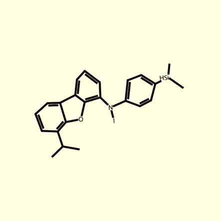 CC(C)c1cccc2c1oc1c(N(I)c3ccc([SiH](C)C)cc3)cccc12